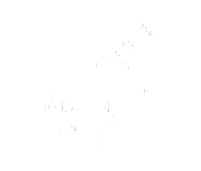 C#C/N=c1/c(Nc2cn[nH]c2)cccn1CC#Cc1cc(C(=O)Nc2ccc(CN(C)CCN(C)[SH](C)(C)=O)c(C(F)(F)F)c2)c(F)cc1C